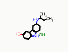 CCC(C)NC1CCc2[nH]c3ccc(O)cc3c2C1.Cl